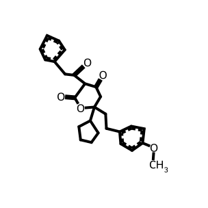 COc1ccc(CCC2(C3CCCC3)CC(=O)C(C(=O)Cc3ccccc3)C(=O)O2)cc1